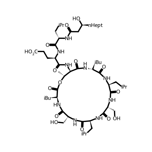 CCCCCCC[C@H](O)CC(=O)N[C@@H](CC(C)C)C(=O)N[C@H](CCC(=O)O)C(=O)N[C@H]1C(=O)N[C@H]([C@H](C)CC)C(=O)N[C@@H](CC(C)C)C(=O)N[C@H](CO)C(=O)N[C@@H](CC(C)C)C(=O)N[C@H](CO)C(=O)N[C@@H]([C@H](C)CC)C(=O)O[C@@H]1C